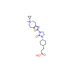 C[N+]1(C2CC2)CCc2nc(N3CCN([C@H]4CC[C@H](CCC(=O)O)CC4)C3=O)sc2CC1